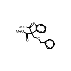 COC(=O)C(COCc1ccccc1)(C(=O)OC)c1ccccc1F